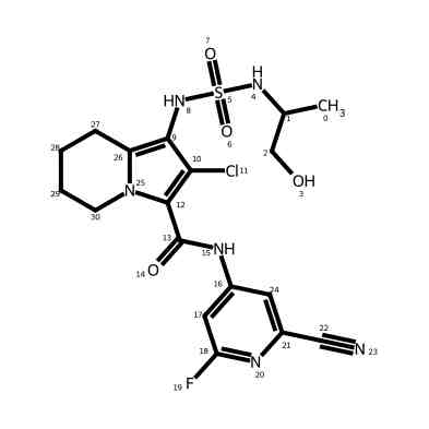 CC(CO)NS(=O)(=O)Nc1c(Cl)c(C(=O)Nc2cc(F)nc(C#N)c2)n2c1CCCC2